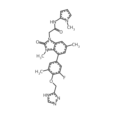 Cc1cc(-c2cc(C)c(OCc3nnc[nH]3)c(F)c2)c2c(c1)n(CC(=O)Nc1cccn1C)c(=O)n2C